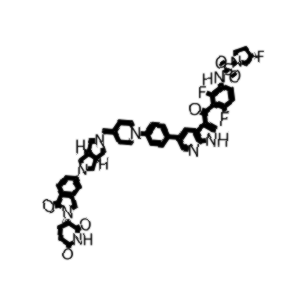 O=C1CC[C@H](N2Cc3cc(N4C[C@H]5CN(CC6CCN(c7ccc(-c8cnc9[nH]cc(C(=O)c%10c(F)ccc(NS(=O)(=O)N%11CC[C@@H](F)C%11)c%10F)c9c8)cc7)CC6)C[C@H]5C4)ccc3C2=O)C(=O)N1